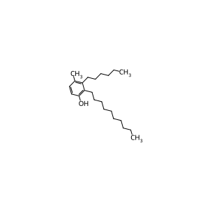 CCCCCCCCCCc1c(O)ccc(C)c1CCCCCC